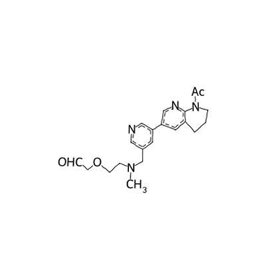 CC(=O)N1CCCc2cc(-c3cncc(CN(C)CCOCC=O)c3)cnc21